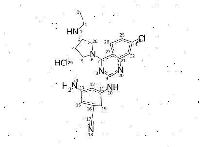 CCN[C@H]1CCN(c2nc(Nc3cc(N)cc(C#N)c3)nc3cc(Cl)ccc23)C1.Cl